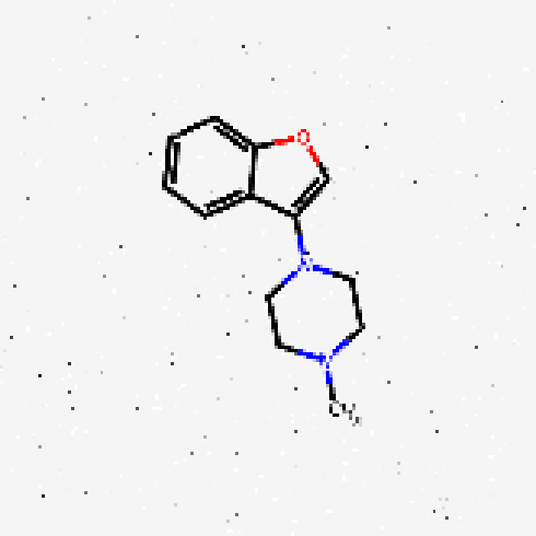 CN1CCN(c2[c]oc3ccccc23)CC1